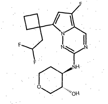 O[C@@H]1COCC[C@H]1Nc1ncc2c(F)cc(C3(CC(F)F)CCC3)n2n1